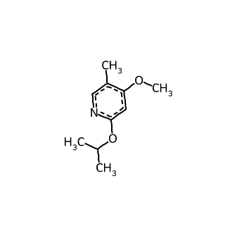 COc1cc(OC(C)C)ncc1C